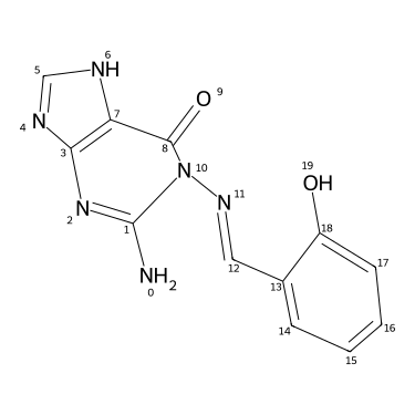 Nc1nc2nc[nH]c2c(=O)n1N=Cc1ccccc1O